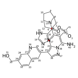 CS(=O)(=O)c1c(C2CC3CCC(C2)N3C(=O)c2nnc[nH]2)nc2c(-c3cnc4cc(CO)ccc4c3)cnn2c1N